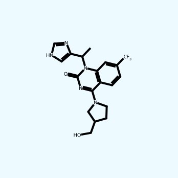 CC(c1c[nH]cn1)n1c(=O)nc(N2CCC(CO)C2)c2ccc(C(F)(F)F)cc21